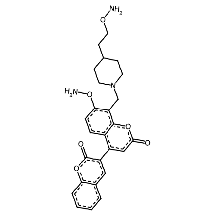 NOCCC1CCN(Cc2c(ON)ccc3c(-c4cc5ccccc5oc4=O)cc(=O)oc23)CC1